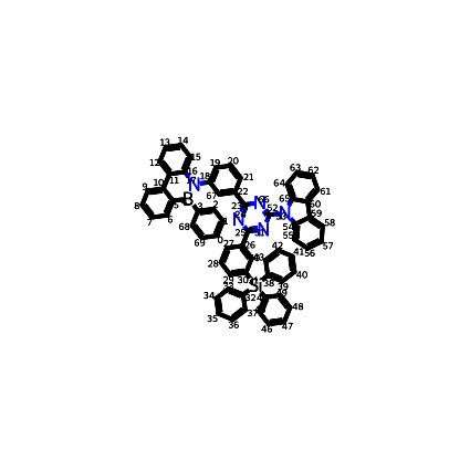 c1ccc(B2c3ccccc3-c3ccccc3N2c2cccc(-c3nc(-c4cccc([Si](c5ccccc5)(c5ccccc5)c5ccccc5)c4)nc(-n4c5ccccc5c5ccccc54)n3)c2)cc1